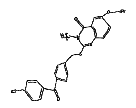 CC(C)Oc1ccc2nc(SCc3ccc(C(=O)c4ccc(Cl)cc4)cc3)n(C)c(=O)c2c1